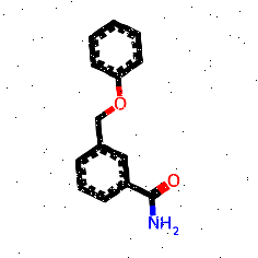 NC(=O)c1cccc(COc2ccccc2)c1